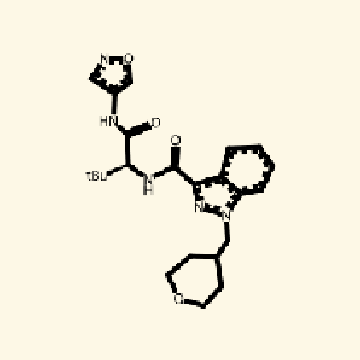 CC(C)(C)[C@H](NC(=O)c1nn(CC2CCOCC2)c2ccccc12)C(=O)Nc1cnoc1